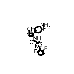 Cn1ncc(NC(=O)c2csc(-c3c(F)cccc3F)n2)c1[C@H]1CC[C@@H](N)[C@@H](F)CC1